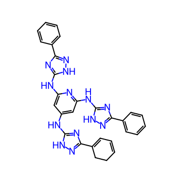 C1=CCCC(c2n[nH]c(Nc3cc(Nc4nc(-c5ccccc5)n[nH]4)nc(Nc4nc(-c5ccccc5)n[nH]4)c3)n2)=C1